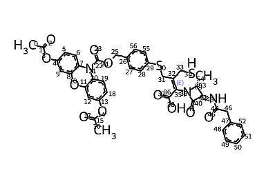 CC(=O)Oc1ccc2c(c1)Oc1cc(OC(C)=O)ccc1N2C(=O)OCc1ccc(SC/C(CS)=C(\C(=O)O)N2C(=O)[C@@H](NC(=O)Cc3ccccc3)[C@H]2C)cc1